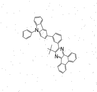 CC(C)(C)c1nc2c3ccccc3c3ccccc3c2nc1-c1cccc(-c2ccc3c(c2)c2ccccc2n3-c2ccccc2)c1